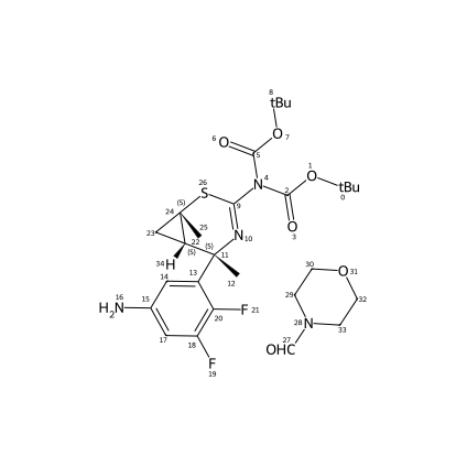 CC(C)(C)OC(=O)N(C(=O)OC(C)(C)C)C1=N[C@](C)(c2cc(N)cc(F)c2F)[C@@H]2C[C@]2(C)S1.O=CN1CCOCC1